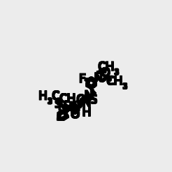 CC1CN(c2cc(F)cc(-c3csc(NC(=O)CNC(=O)c4cn(SC(C)C)c5ccccc45)n3)c2)CC(C)O1